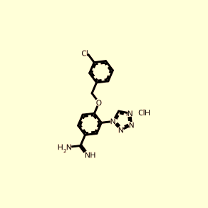 Cl.N=C(N)c1ccc(OCc2cccc(Cl)c2)c(-n2cnnn2)c1